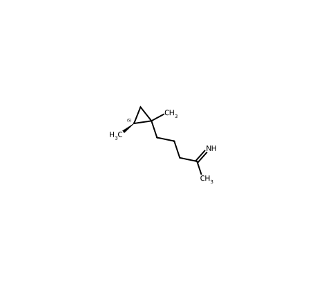 CC(=N)CCCC1(C)C[C@@H]1C